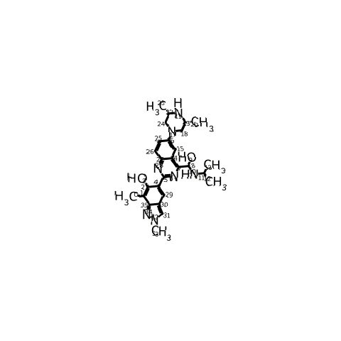 Cc1c(O)c(-c2nc(C(O)NC(C)C)c3cc(N4C[C@@H](C)N[C@@H](C)C4)ccc3n2)cc2cn(C)nc12